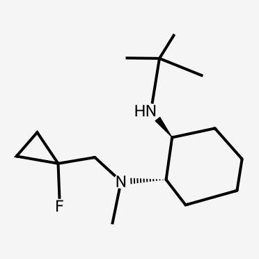 CN(CC1(F)CC1)[C@H]1CCCC[C@@H]1NC(C)(C)C